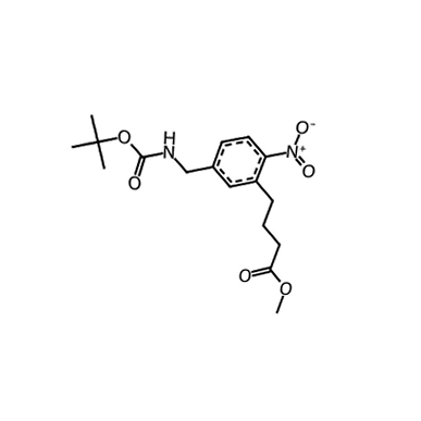 COC(=O)CCCc1cc(CNC(=O)OC(C)(C)C)ccc1[N+](=O)[O-]